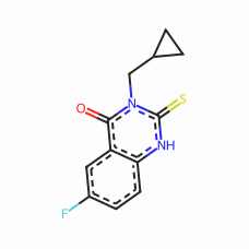 O=c1c2cc(F)ccc2[nH]c(=S)n1CC1CC1